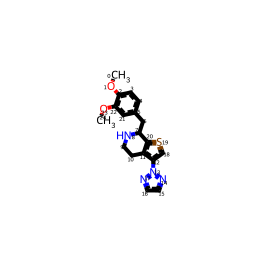 COc1ccc(CC2NCCc3c(-n4nccn4)csc32)cc1OC